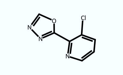 Clc1cccnc1-c1nnco1